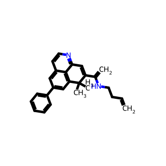 C=CCCNC(=C)C1=Cc2nccc3cc(-c4ccccc4)cc(c23)C1(C)C